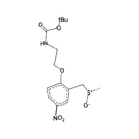 C[S+]([O-])Cc1cc([N+](=O)[O-])ccc1OCCNC(=O)OC(C)(C)C